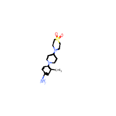 Cc1cc(N)ccc1N1CCC(N2CCS(=O)(=O)CC2)CC1